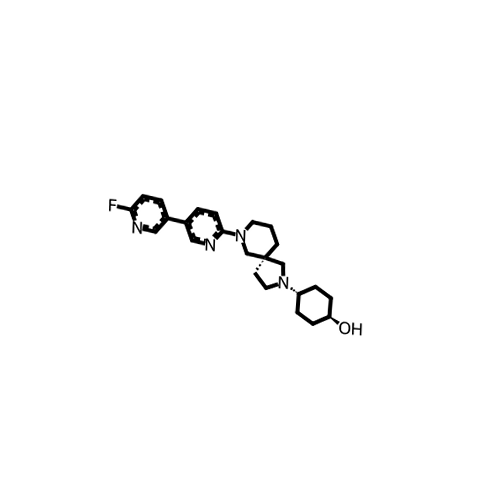 O[C@H]1CC[C@H](N2CC[C@]3(CCCN(c4ccc(-c5ccc(F)nc5)cn4)C3)C2)CC1